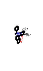 CC(Nc1ccc2ccccc2c1-c1cc(C(C)(C)C)cc(C(C)(C)C)c1O)c1ccccc1